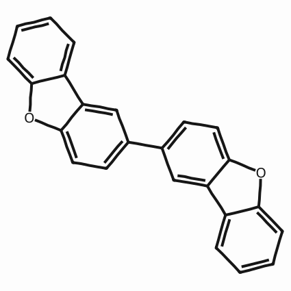 c1ccc2c(c1)oc1ccc(-c3ccc4oc5ccccc5c4c3)cc12